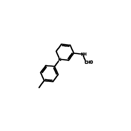 Cc1ccc(N2C=C(NC=O)C=CC2)cc1